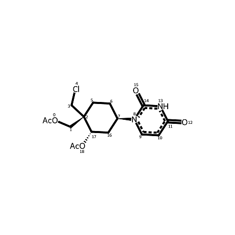 CC(=O)OC[C@@]1(CCl)CC[C@@H](n2ccc(=O)[nH]c2=O)C[C@@H]1OC(C)=O